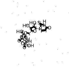 O=c1ccn([C@@H]2O[C@H](COP(=O)(O)OP(=O)(O)OP(=O)(O)O)[C@@H](O)[C@H]2O)c(=S)[nH]1